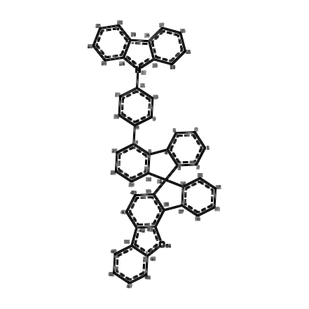 c1ccc2c(c1)-c1c(-c3ccc(-n4c5ccccc5c5ccccc54)cc3)cccc1C21c2ccccc2-c2c1ccc1c2oc2ccccc21